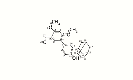 COc1cc(OC)c(-c2ccc(O)c(C34CC5CC(CC(C5)C3)C4)c2)cc1C=O